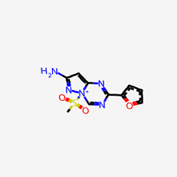 CS(=O)(=O)[N+]12C=NC(c3ccco3)=NC1=CC(N)=N2